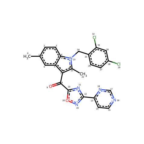 Cc1ccc2c(c1)c(C(=O)c1nc(-c3ccncn3)no1)c(C)n2Cc1ccc(Cl)cc1Cl